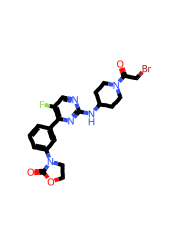 O=C(CBr)N1CCC(Nc2ncc(F)c(-c3cccc(N4CCOC4=O)c3)n2)CC1